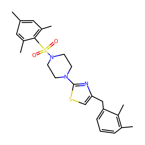 Cc1cc(C)c(S(=O)(=O)N2CCN(c3nc(Cc4cccc(C)c4C)cs3)CC2)c(C)c1